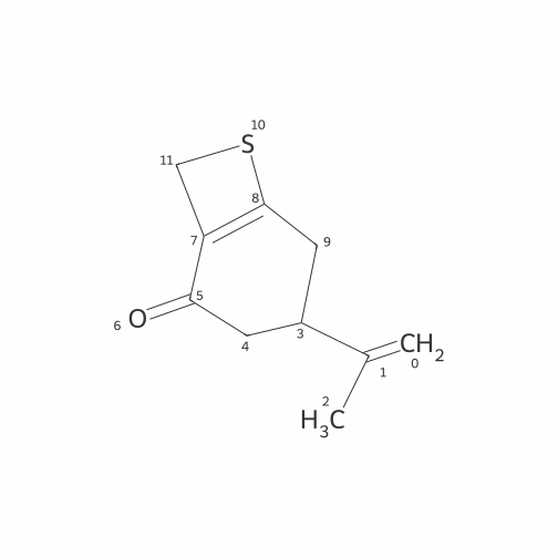 C=C(C)C1CC(=O)C2=C(C1)SC2